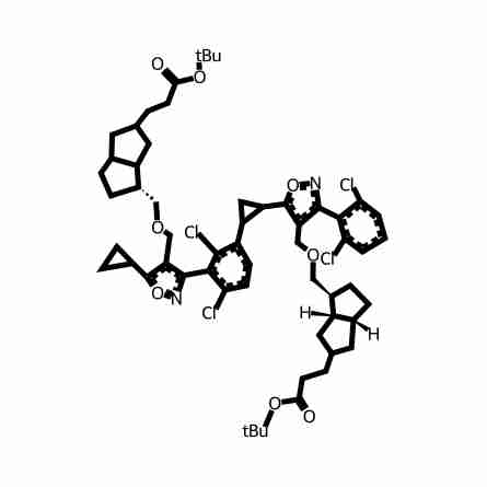 CC(C)(C)OC(=O)CCC1CC2CC[C@@H](COCc3c(-c4c(Cl)ccc(C5CC5c5onc(-c6c(Cl)cccc6Cl)c5COC[C@H]5CC[C@@H]6CC(CCC(=O)OC(C)(C)C)C[C@H]56)c4Cl)noc3C3CC3)C2C1